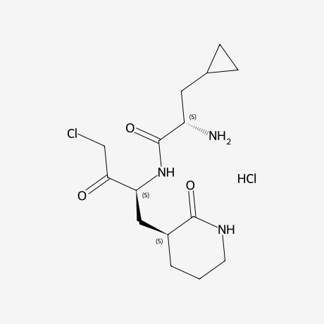 Cl.N[C@@H](CC1CC1)C(=O)N[C@@H](C[C@@H]1CCCNC1=O)C(=O)CCl